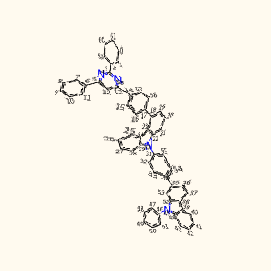 C1=CC(c2nc(-c3ccccc3)cc(-c3ccc(-c4cccc5c4c4ccccc4n5-c4ccc(-c5ccc6c7ccccc7n(-c7ccccc7)c6c5)cc4)cc3)n2)=CCC1